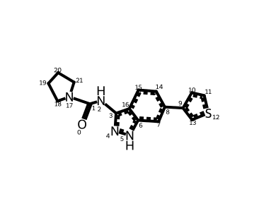 O=C(Nc1n[nH]c2cc(-c3ccsc3)ccc12)N1CCCC1